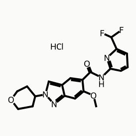 COc1cc2nn(C3CCOCC3)cc2cc1C(=O)Nc1cccc(C(F)F)n1.Cl